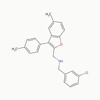 Cc1ccc(-c2c(CNCc3cccc(Cl)c3)oc3ccc(C)cc23)cc1